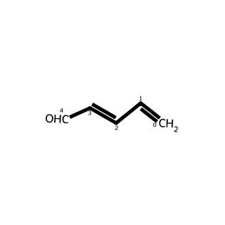 C=[C]C=CC=O